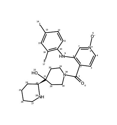 O=C(c1cc[n+]([O-])cc1Nc1ccc(I)cc1F)N1CCC(O)([C@@H]2CCCCN2)CC1